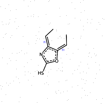 C/C=c1/nc(S)o/c1=C/C